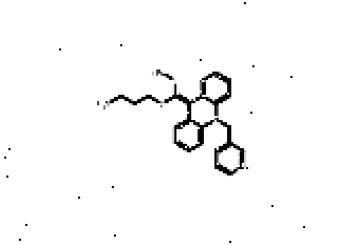 CCCSC(SCCCN)=C1c2ccccc2N(Cc2ccccc2)c2ccccc21